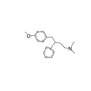 COc1ccc(CC(CCN(C)C)c2ccccc2)cc1